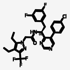 CCc1c(C(F)(F)F)nn(CC(=O)N[C@@H](Cc2cc(F)cc(F)c2)c2ncncc2-c2ccc(Cl)cc2)c1CC